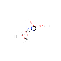 CCCCOC(=O)Oc1ccc(C[C@H](N)C(=O)O[C@@H](C)C(C)OC(=O)C(C)(C)CC)cc1OC(=O)OCCCC